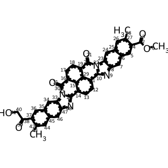 COC(=O)c1cc2cc3nc4c5ccc6c7c(ccc(c(=O)n4c3cc2cc1C)c57)c(=O)n1c2cc3cc(C(=O)CO)c(C)cc3cc2nc61